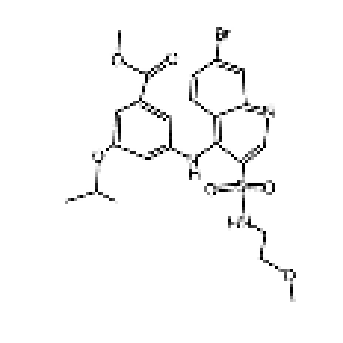 COCCNS(=O)(=O)c1cnc2cc(Br)ccc2c1Nc1cc(OC(C)C)cc(C(=O)OC)c1